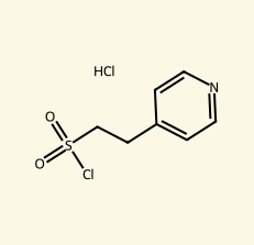 Cl.O=S(=O)(Cl)CCc1ccncc1